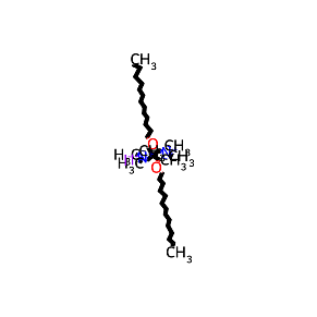 CCCCCCCCCCCCCCOCC(COCCCCCCCCCCCCCC)(C[N+](C)(C)C)C[N+](C)(C)C.[I-].[I-]